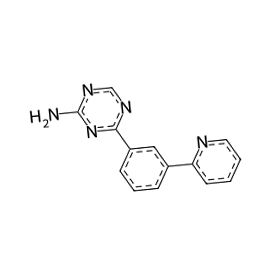 Nc1ncnc(-c2cccc(-c3ccccn3)c2)n1